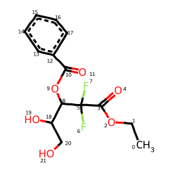 CCOC(=O)C(F)(F)C(OC(=O)c1ccccc1)C(O)CO